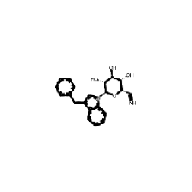 N=C[C@H]1O[C@@H](n2cc(Cc3ccccc3)c3ccccc32)[C@H](O)[C@@H](O)[C@@H]1O